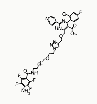 COC(=O)C1=C(COCc2cn(CCOCCOCCNC(=O)c3c(F)c(F)c(N)c(F)c3F)nn2)NC(c2ccncc2)=NC1c1ccc(F)cc1Cl